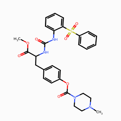 COC(=O)C(Cc1ccc(OC(=O)N2CCN(C)CC2)cc1)NC(=O)Nc1ccccc1S(=O)(=O)c1ccccc1